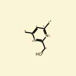 Cc1cc(I)nc(CO)n1